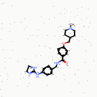 CN1CCC(COc2ccc(C(=O)NCc3ccc(NC4=NCCN4)cc3)cc2)CC1